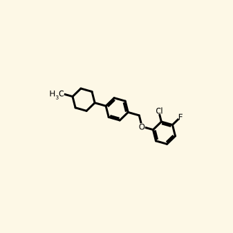 CC1CCC(c2ccc(COc3cccc(F)c3Cl)cc2)CC1